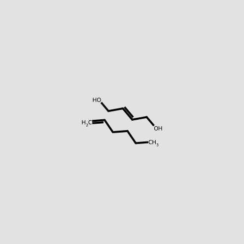 C=CCCCC.OCC=CCO